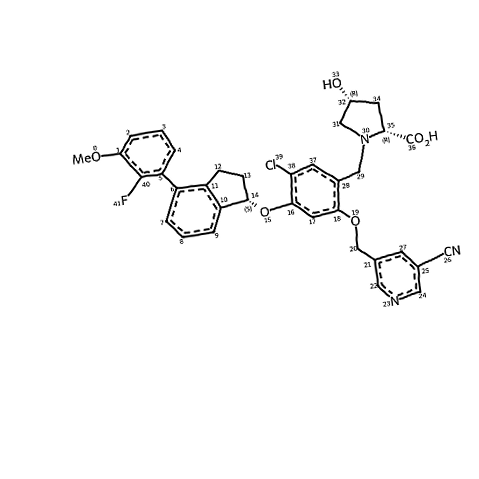 COc1cccc(-c2cccc3c2CC[C@@H]3Oc2cc(OCc3cncc(C#N)c3)c(CN3C[C@H](O)C[C@@H]3C(=O)O)cc2Cl)c1F